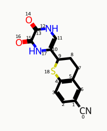 N#Cc1ccc2c(c1)CCC(c1c[nH]c(=O)c(=O)[nH]1)S2